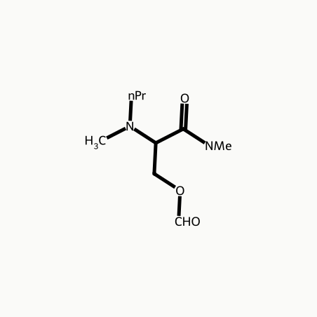 CCCN(C)C(COC=O)C(=O)NC